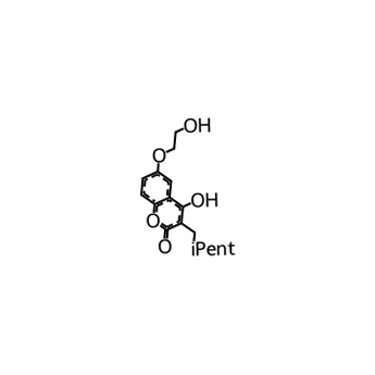 CCCC(C)Cc1c(O)c2cc(OCCO)ccc2oc1=O